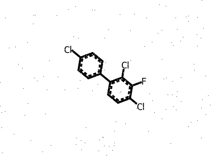 Fc1c(Cl)ccc(-c2ccc(Cl)cc2)c1Cl